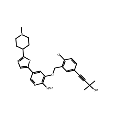 CNc1ncc(-c2cnc(C3CCN(C)CC3)s2)cc1OCc1cc(C#CC(C)(C)O)ccc1Cl